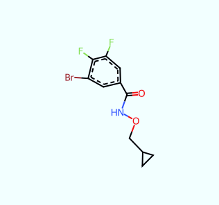 O=C(NOCC1CC1)c1cc(F)c(F)c(Br)c1